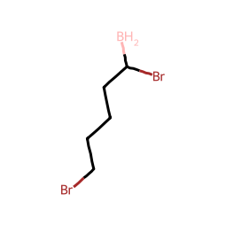 BC(Br)CCCCBr